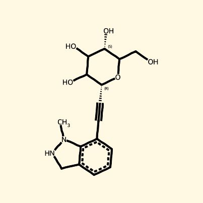 CN1NCc2cccc(C#C[C@H]3OC(CO)[C@@H](O)C(O)C3O)c21